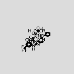 CC(Cn1c(Nc2cc(Cl)cc(C(F)(F)F)c2)nc2cnc(NC3CCCC3)nc21)NC(=O)OC(C)(C)C